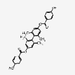 Cc1cc(OC(=O)c2ccc(O)cc2)cc(C)c1-c1c(C)cc(OC(=O)c2ccc(O)cc2)cc1C